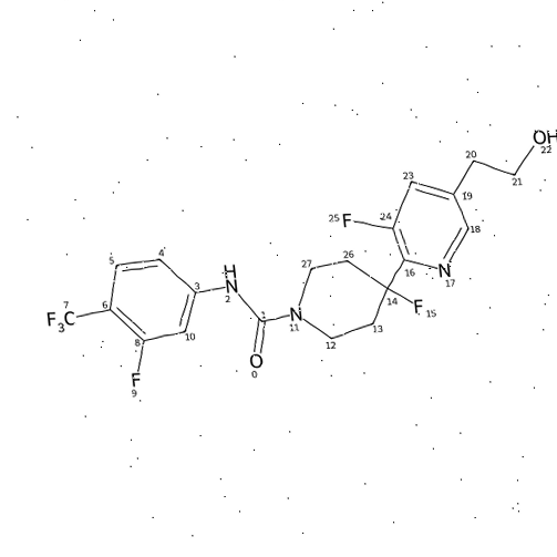 O=C(Nc1ccc(C(F)(F)F)c(F)c1)N1CCC(F)(c2ncc(CCO)cc2F)CC1